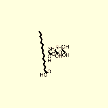 CCCCCCCCCCCCCCCC(=O)O.O=C(O)CS.O=C(O)CS.OCCO